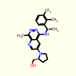 Cc1c([C@@H](C)Nc2nnc(C)c3ncc(N4CCC[C@H]4CO)cc23)cccc1C(F)(F)F